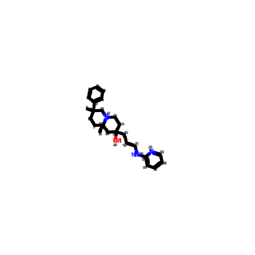 CC1(c2ccccc2)CCC2(C)CC(O)(CCCNc3ccccn3)CCN2C1